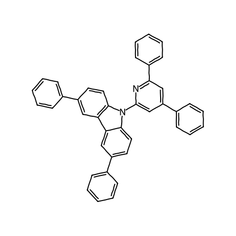 c1ccc(-c2cc(-c3ccccc3)nc(-n3c4ccc(-c5ccccc5)cc4c4cc(-c5ccccc5)ccc43)c2)cc1